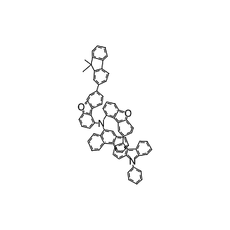 CC1(C)c2ccccc2-c2ccc(-c3ccc4c(c3)oc3cccc(N(c5cc6ccccc6c6ccccc56)c5cccc6oc7ccc(-c8cccc9c8c8ccccc8n9-c8ccccc8)cc7c56)c34)cc21